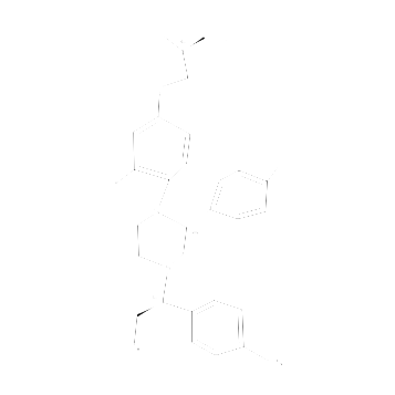 C[C@H](O)COc1ccc(N2CCN([C@H](CO)c3ccc(C#N)cc3)C[C@H]2c2ccc(Cl)cc2)c(Cl)c1